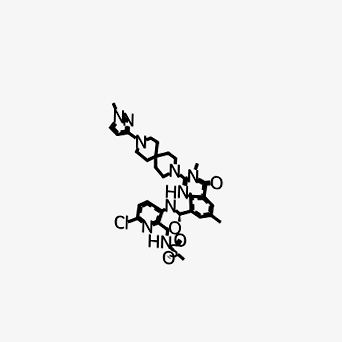 Cc1cc([C@@H](C)Nc2ccc(Cl)nc2C(=O)NS(C)(=O)=O)c2nc(N3CCC4(CCN(c5ccn(C)n5)CC4)CC3)n(C)c(=O)c2c1